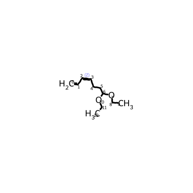 C=C/C=C\CCC(OCC)OCC